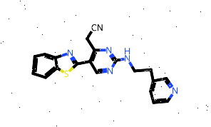 N#CCc1nc(NCCc2cccnc2)ncc1-c1nc2ccccc2s1